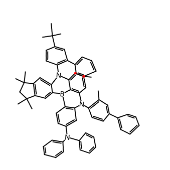 Cc1cc2c3c(c1)N(c1ccc(C(C)(C)C)cc1-c1ccccc1)c1cc4c(cc1B3c1ccc(N(c3ccccc3)c3ccccc3)cc1N2c1ccc(-c2ccccc2)cc1C)C(C)(C)CC4(C)C